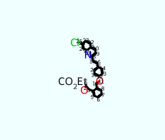 CCOC(=O)C1OC1c1ccccc1COc1ccc(/C=C/c2ccc3ccc(Cl)cc3n2)cc1